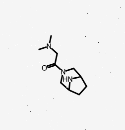 CN(C)CC(=O)N1CC2CCC(C1)N2